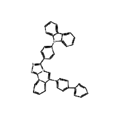 c1ccc(-c2ccc(-c3cn4c(-c5ccc(-n6c7ccccc7c7ccccc76)cc5)nnc4c4ccccc34)cc2)cc1